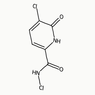 O=C(NCl)c1ccc(Cl)c(=O)[nH]1